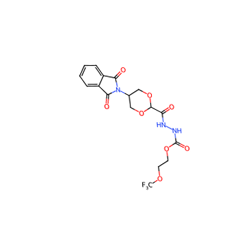 O=C(NNC(=O)C1OCC(N2C(=O)c3ccccc3C2=O)CO1)OCCOC(F)(F)F